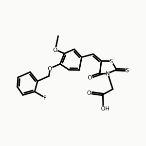 COc1cc(C=C2SC(=S)N(CC(=O)O)C2=O)ccc1OCc1ccccc1F